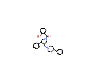 O=C(c1ccccc1Br)N1CC(CN2CCC(c3ccccc3)CC2)C(c2ccccc2)C1